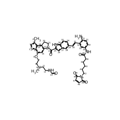 Cc1csc2c(OCCN(C)CCNC=O)cc3c(c12)CCN3C(=O)c1cc2cc(/C=C/c3cc(NC(=O)CCCCCN4C(=O)C=CC4=O)ccc3N)ccc2[nH]1